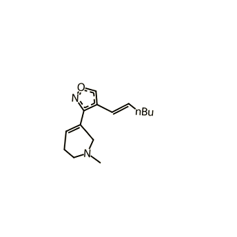 CCCCC=Cc1conc1C1=CCCN(C)C1